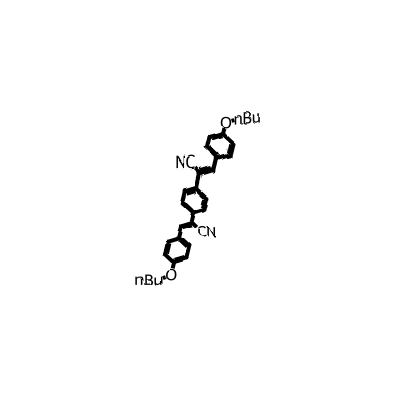 CCCCOc1ccc(/C=C(\C#N)c2ccc(/C(C#N)=C/c3ccc(OCCCC)cc3)cc2)cc1